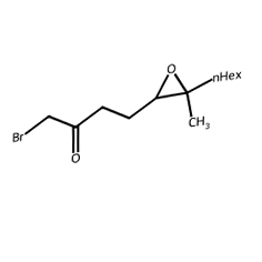 CCCCCCC1(C)OC1CCC(=O)CBr